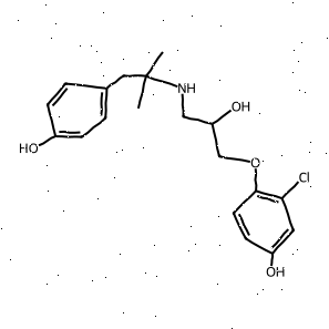 CC(C)(Cc1ccc(O)cc1)NCC(O)COc1ccc(O)cc1Cl